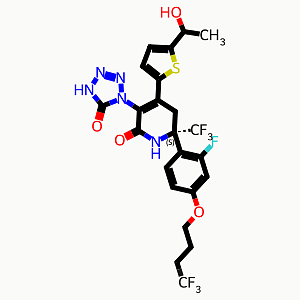 CC(O)c1ccc(C2=C(n3nn[nH]c3=O)C(=O)N[C@@](c3ccc(OCCCC(F)(F)F)cc3F)(C(F)(F)F)C2)s1